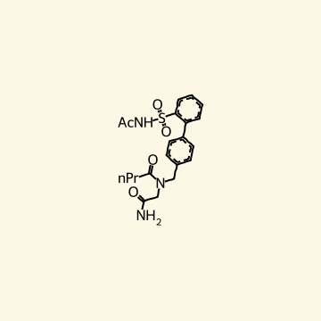 CCCC(=O)N(CC(N)=O)Cc1ccc(-c2ccccc2S(=O)(=O)NC(C)=O)cc1